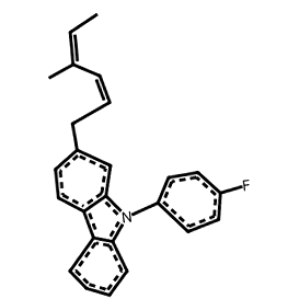 C/C=C(C)\C=C/Cc1ccc2c3ccccc3n(-c3ccc(F)cc3)c2c1